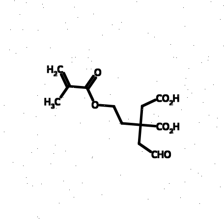 C=C(C)C(=O)OCCC(CC=O)(CC(=O)O)C(=O)O